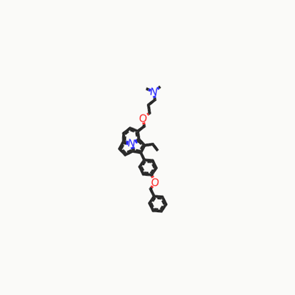 CCc1c(-c2ccc(OCc3ccccc3)cc2)c2ccc3ccc(COCCCN(C)C)c1n32